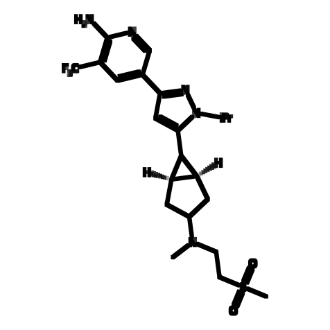 CC(C)n1nc(-c2cnc(N)c(C(F)(F)F)c2)cc1C1[C@H]2CC(N(C)CCS(C)(=O)=O)C[C@@H]12